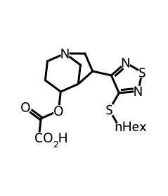 CCCCCCSc1nsnc1C1CN2CCC(OC(=O)C(=O)O)C1C2